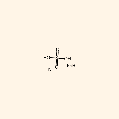 O=S(=O)(O)O.[Ni].[RbH]